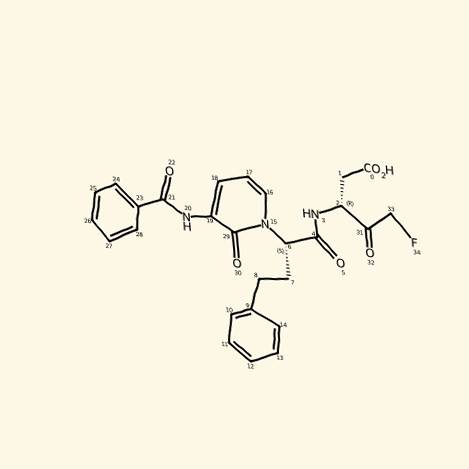 O=C(O)C[C@@H](NC(=O)[C@H](CCc1ccccc1)n1cccc(NC(=O)c2ccccc2)c1=O)C(=O)CF